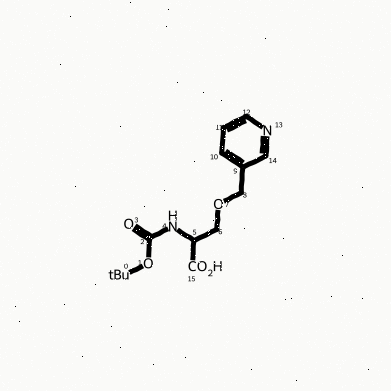 CC(C)(C)OC(=O)NC(COCc1cccnc1)C(=O)O